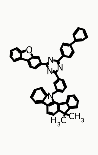 CC1(C)c2ccccc2-c2c1ccc1c3ccccc3n(-c3cccc(-c4nc(-c5ccc(-c6ccccc6)cc5)nc(-c5ccc6c(c5)oc5ccccc56)n4)c3)c21